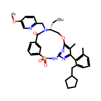 Cc1cccc(CC2CCCC2)c1-c1nc2nc(c1C)OC[C@@H](CC(C)(C)C)N(Cc1ccc(OC(C)C)cn1)C(=O)c1cccc(c1)S(=O)(=O)N2